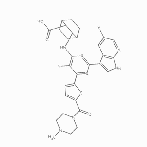 CN1CCN(C(=O)c2ccc(-c3nc(-c4c[nH]c5ncc(F)cc45)nc(NC4C5CCC(CC5)C4C(=O)O)c3F)s2)CC1